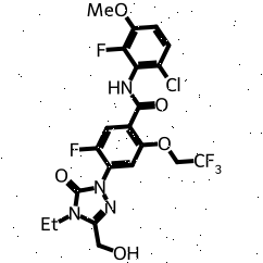 CCn1c(CO)nn(-c2cc(OCC(F)(F)F)c(C(=O)Nc3c(Cl)ccc(OC)c3F)cc2F)c1=O